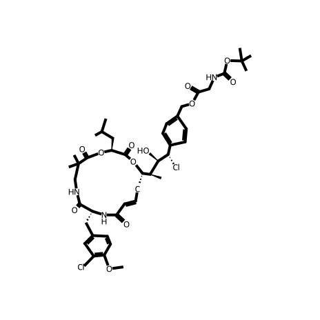 COc1ccc(C[C@H]2NC(=O)/C=C/C[C@@H]([C@H](C)[C@@H](O)[C@@H](Cl)c3ccc(COC(=O)CNC(=O)OC(C)(C)C)cc3)OC(=O)[C@H](CC(C)C)OC(=O)C(C)(C)CNC2=O)cc1Cl